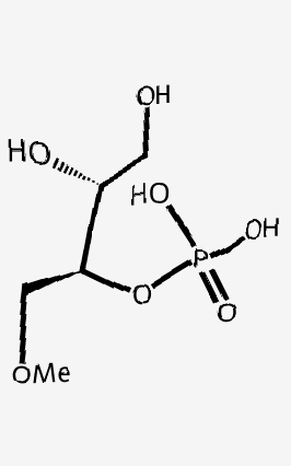 COC[C@H](OP(=O)(O)O)[C@H](O)CO